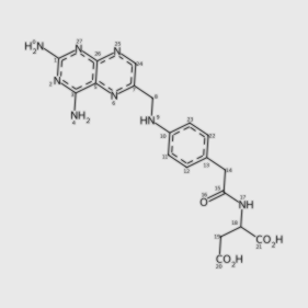 Nc1nc(N)c2nc(CNc3ccc(CC(=O)NC(CC(=O)O)C(=O)O)cc3)cnc2n1